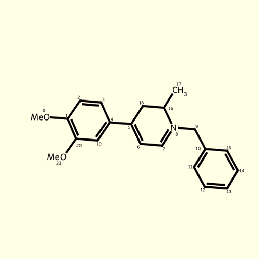 COc1ccc(C2=CC=[N+](Cc3ccccc3)C(C)C2)cc1OC